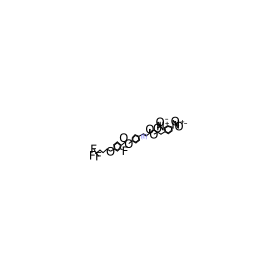 O=C(/C=C/c1ccc(OC(=O)c2ccc(OCCCC(F)(F)F)cc2F)cc1)OCCc1ccc([N+](=O)[O-])cc1[N+](=O)[O-]